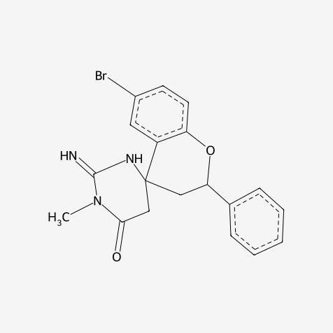 CN1C(=N)NC2(CC1=O)CC(c1ccccc1)Oc1ccc(Br)cc12